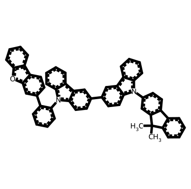 CC1(C)c2ccccc2-c2ccc(-n3c4ccccc4c4cc(-c5ccc6c(c5)c5ccccc5n6-c5ccccc5-c5ccc6c(c5)oc5ccccc56)ccc43)cc21